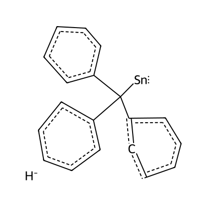 [H-].[Sn][C](c1ccccc1)(c1ccccc1)c1ccccc1